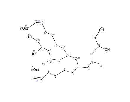 CCCCCCCC/C=C\CCCCC(CC(C)CC(O)CO)OC(CCCC/C=C\CCCCCCCC)CC(C)CC(O)CO